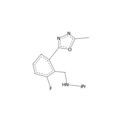 Cc1nnc(-c2cccc(F)c2CNC(C)C)o1